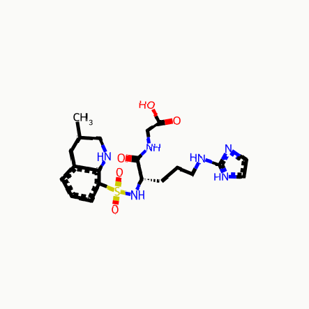 CC1CNc2c(cccc2S(=O)(=O)N[C@@H](CCCNc2ncc[nH]2)C(=O)NCC(=O)O)C1